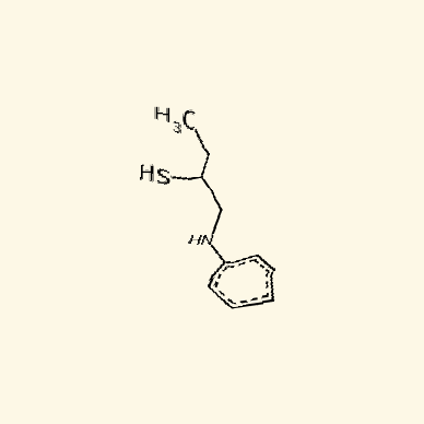 CCC(S)CNc1ccccc1